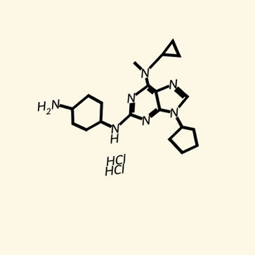 CN(c1nc(NC2CCC(N)CC2)nc2c1ncn2C1CCCC1)C1CC1.Cl.Cl